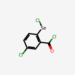 O=C(Cl)c1cc(Cl)ccc1[Se]Cl